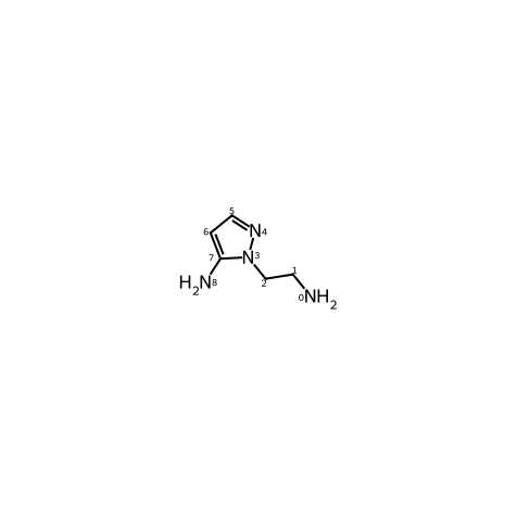 NCCn1nccc1N